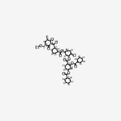 CCOCn1cc(F)c(=O)n(C(=O)c2cccc(C(=O)Oc3cc(OC(=O)c4ccc(OC(=O)c5ccccc5)nc4OC(=O)c4ccccc4)c(Cl)cn3)c2)c1=O